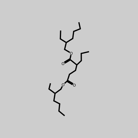 CCCCC(CC)COC(=O)CCC(CCC)C(=O)OCC(CC)CCCC